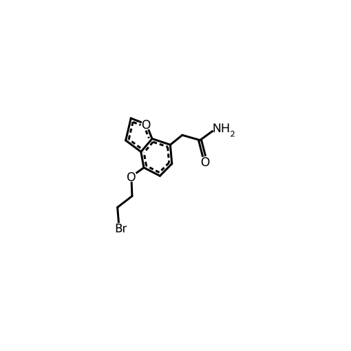 NC(=O)Cc1ccc(OCCBr)c2ccoc12